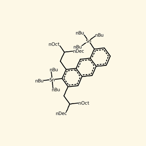 CCCCCCCCCCC(CCCCCCCC)Cc1cc2cc3ccc[c]([Sn]([CH2]CCC)([CH2]CCC)[CH2]CCC)c3cc2c(CC(CCCCCCCC)CCCCCCCCCC)[c]1[Sn]([CH2]CCC)([CH2]CCC)[CH2]CCC